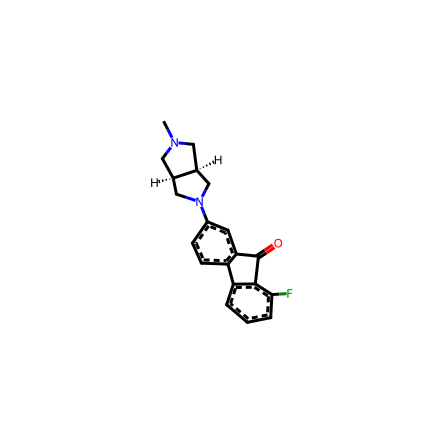 CN1C[C@@H]2CN(c3ccc4c(c3)C(=O)c3c(F)cccc3-4)C[C@@H]2C1